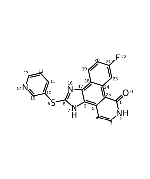 O=c1[nH]ccc2c3[nH]c(Sc4cccnc4)nc3c3ccc(F)cc3c12